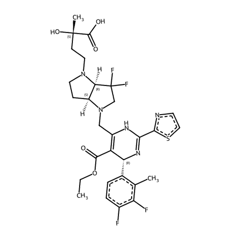 CCOC(=O)C1=C(CN2CC(F)(F)[C@H]3[C@@H]2CCN3CC[C@](C)(O)C(=O)O)NC(c2nccs2)=N[C@@H]1c1ccc(F)c(F)c1C